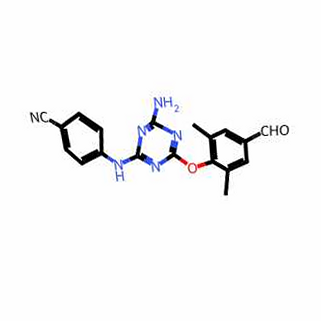 Cc1cc(C=O)cc(C)c1Oc1nc(N)nc(Nc2ccc(C#N)cc2)n1